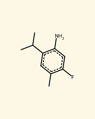 Cc1cc(C(C)C)c(N)cc1F